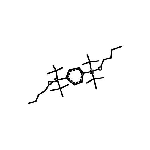 CCCCO[Si](c1ccc([Si](OCCCC)(C(C)(C)C)C(C)(C)C)cc1)(C(C)(C)C)C(C)(C)C